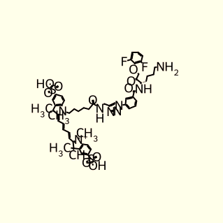 C[N+]1=C(/C=C/C=C/C=C2\N(CCCCCC(=O)NCc3cn(-c4cccc(C(=O)N[C@@H](CCCCN)C(=O)COc5c(F)cccc5F)c4)nn3)c3ccc(S(=O)(=O)O)cc3C2(C)C)C(C)(C)c2cc(S(=O)(=O)O)ccc21